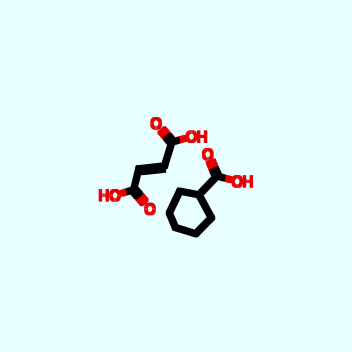 O=C(O)/C=C/C(=O)O.O=C(O)C1CCCCC1